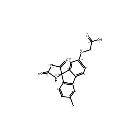 Cc1ccc2c(c1)-c1ccc(OCC(=O)O)cc1C21NC(=O)NC1=O